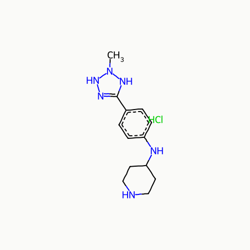 CN1NN=C(c2ccc(NC3CCNCC3)cc2)N1.Cl